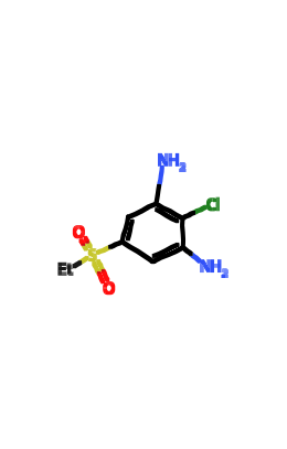 CCS(=O)(=O)c1cc(N)c(Cl)c(N)c1